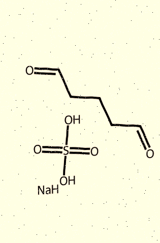 O=CCCCC=O.O=S(=O)(O)O.[NaH]